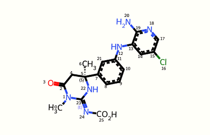 CN1C(=O)C[C@@](C)(c2cccc(Nc3cc(Cl)cnc3N)c2)N/C1=N\C(=O)O